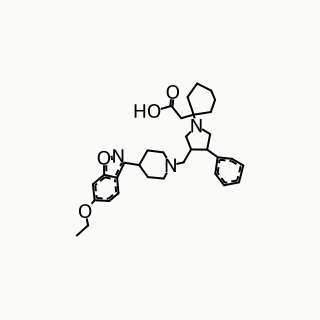 CCOc1ccc2c(C3CCN(CC4CN(C5(CC(=O)O)CCCCC5)CC4c4ccccc4)CC3)noc2c1